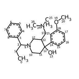 CCC(c1ccccc1)N1CCC(O)(c2cccc(OC)c2)C(CN(C)C)C1